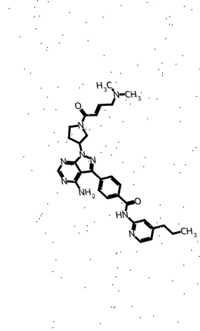 CCCc1ccnc(NC(=O)c2ccc(-c3nn(C4CCN(C(=O)/C=C/CN(C)C)C4)c4ncnc(N)c34)cc2)c1